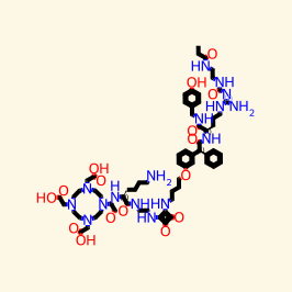 CCC(=O)NCCNC(=O)/N=C(/N)NCCC[C@@H](NC(=O)[C@@H](c1ccccc1)c1cccc(OCCCCNc2c(NCCNC(=O)[C@@H](CCCCN)NC(C=O)N3CCN(CC(=O)O)CCN(CC(=O)O)CCN(CC(=O)O)CC3)c(=O)c2=O)c1)C(=O)NCc1ccc(O)cc1